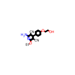 CCOc1nc(N)c(C#N)c(-c2ccc(OCCO)cc2)c1C#N